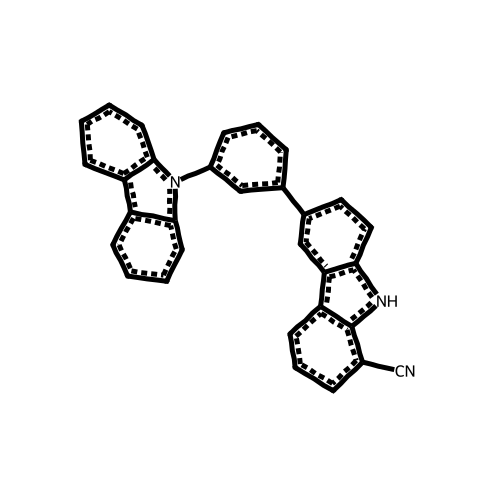 N#Cc1cccc2c1[nH]c1ccc(-c3cccc(-n4c5ccccc5c5ccccc54)c3)cc12